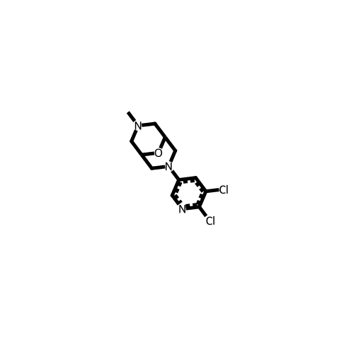 CN1CC2CN(c3cnc(Cl)c(Cl)c3)CC(C1)O2